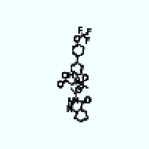 CS(=O)(=O)N(c1ccc(-c2ccc(OC(F)(F)F)cc2)cc1)[C@H](CCn1nnc2ccccc2c1=O)C(=O)O